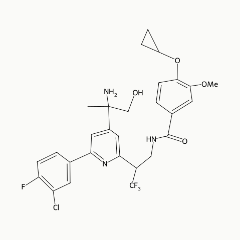 COc1cc(C(=O)NCC(c2cc(C(C)(N)CO)cc(-c3ccc(F)c(Cl)c3)n2)C(F)(F)F)ccc1OC1CC1